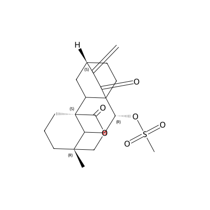 C=C1C(=O)C23CC[C@H]1CC2[C@@]12CCC[C@@](C)(COC1=O)C2C[C@H]3OS(C)(=O)=O